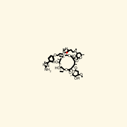 CC[C@H]1OC(=O)[C@H](C)[C@@H](O[C@H]2C[C@@](C)(OC)[C@@H](O)[C@H](C)O2)[C@H](C)[C@@H](O[C@@H]2O[C@H](C)C[C@H](N(C)CCc3cn(CCCOc4ccc(-c5nc(N)ns5)cc4)nn3)[C@H]2O)[C@](C)(O)CC[C@@H](C)CN(C)[C@H](C)[C@@H](O)C[C@]1(C)O